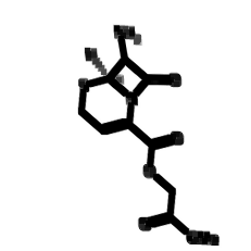 COC(=O)COC(=O)C1=CCS[C@H]2C(N)C(=O)N12